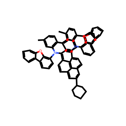 Cc1ccc(-c2ccccc2)c(N(c2cc(N(c3cc(C)ccc3-c3ccccc3)c3cccc4c3oc3ccccc34)c3ccc4cc(C5CCCCC5)cc5ccc2c3c54)c2cccc3c2oc2ccccc23)c1